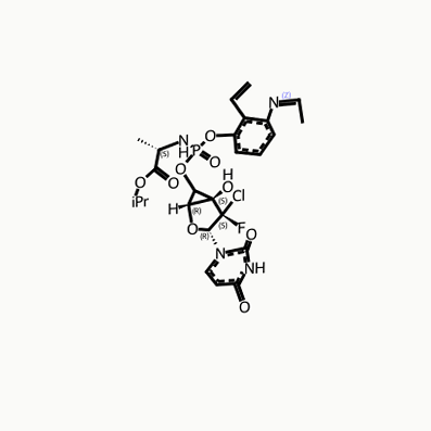 C=Cc1c(/N=C\C)cccc1OP(=O)(N[C@@H](C)C(=O)OC(C)C)OC1[C@H]2O[C@@H](n3ccc(=O)[nH]c3=O)[C@@](F)(Cl)[C@@]12O